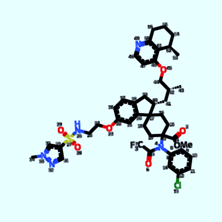 COC(=O)C1(N(C(=O)C(F)(F)F)c2cccc(Cl)c2)CCC2(CC1)c1cc(OCCNS(=O)(=O)c3cnn(C)c3)ccc1C[C@@H]2C[C@@H](C)COc1ccnc2c1[C@H](C)CCC2